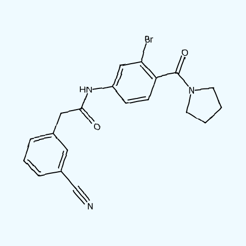 N#Cc1cccc(CC(=O)Nc2ccc(C(=O)N3CCCC3)c(Br)c2)c1